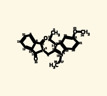 CCn1c(CN2C(=O)c3ccccc3C2=O)[n+](CC)c2ccc(OC)cc21